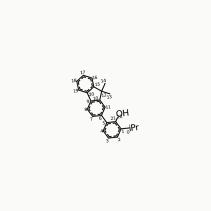 CC(C)c1cccc(-c2ccc3c(c2)C(C)(C)c2ccccc2-3)c1O